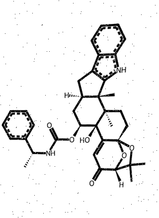 C[C@@H](NC(=O)O[C@H]1C[C@H]2Cc3c([nH]c4ccccc34)[C@]2(C)[C@@]2(C)CC[C@@]34O[C@@H](C(=O)C=C3[C@]12O)C(C)(C)O4)c1ccccc1